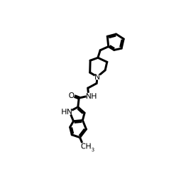 Cc1ccc2[nH]c(C(=O)NCCN3CCC(Cc4ccccc4)CC3)cc2c1